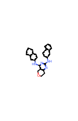 c1ccc2cc(Nc3nc4c(c(Nc5ccc6ccccc6c5)n3)COCC4)ccc2c1